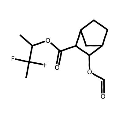 CC(OC(=O)C1C2CCC(C2)C1OC=O)C(C)(F)F